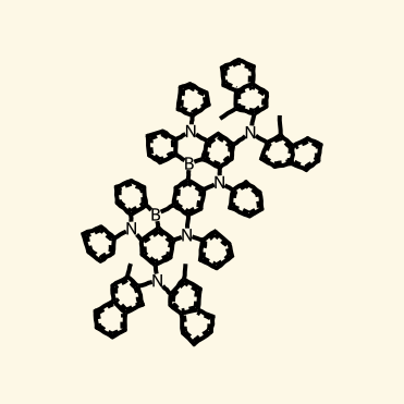 Cc1cc2ccccc2cc1N(c1cc2c3c(c1)N(c1ccccc1)c1cc4c(cc1B3c1ccccc1N2c1ccccc1)B1c2ccccc2N(c2ccccc2)c2cc(N(c3ccc5ccccc5c3C)c3ccc5ccccc5c3C)cc(c21)N4c1ccccc1)c1cc2ccccc2cc1C